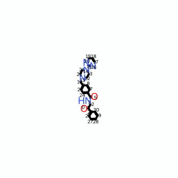 O=C(CNC(=O)c1ccc(CN2CCN(c3ncccn3)CC2)cc1)c1ccccc1